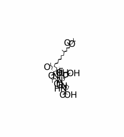 CC(=O)CC[C@@H](C(=O)N[C@H](C(=O)N[C@@H](Cc1cc(O)cc(F)c1)C(=O)N1CCCC(C(=O)O)N1)C(C)C)[C@H](O)[C@@H](C)C/C=C/C=C/CC/C(C)=C/C=C/C(=O)OC(C)(C)C